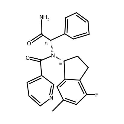 Cc1cc(F)c2c(c1)[C@H](N(C(=O)c1cccnc1)[C@H](C(N)=O)c1ccccc1)CC2